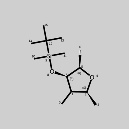 CC1[C@H](C)O[C@H](I)[C@@H]1O[Si](C)(C)C(C)(C)C